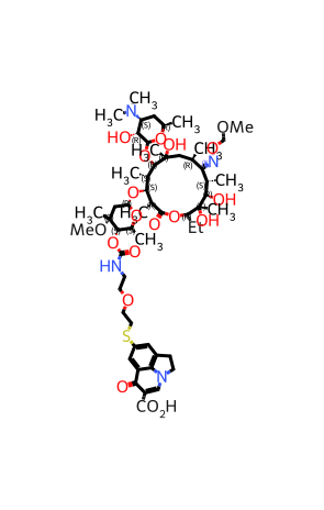 CC[C@H]1OC(=O)[C@H](C)[C@@H](O[C@H]2C[C@@](C)(OC)[C@@H](OC(=O)NCCOCCSc3cc4c5c(c3)c(=O)c(C(=O)O)cn5CC4)[C@H](C)O2)[C@H](C)[C@@H](OC2O[C@H](C)C[C@H](N(C)C)[C@H]2O)[C@](C)(O)C[C@@H](C)/C(=N\OCOC)[C@H](C)[C@@H](O)[C@]1(C)O